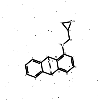 c1ccc2c(c1)C1CCC2c2c(OCC3CO3)cccc21